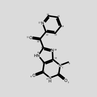 Cn1c(=O)[nH]c(=O)c2[nH]c(C(=O)c3ccccn3)nc21